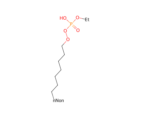 CCCCCCCCCCCCCCCCOOP(=O)(O)OCC